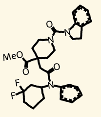 COC(=O)C1(CC(=O)N(c2ccccc2)C2CCCC(F)(F)C2)CCN(C(=O)N2CCc3ccccc32)CC1